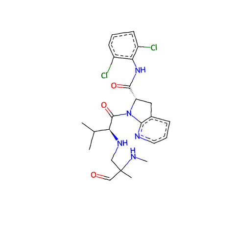 CNC(C)(C=O)CN[C@H](C(=O)N1c2ncccc2C[C@H]1C(=O)Nc1c(Cl)cccc1Cl)C(C)C